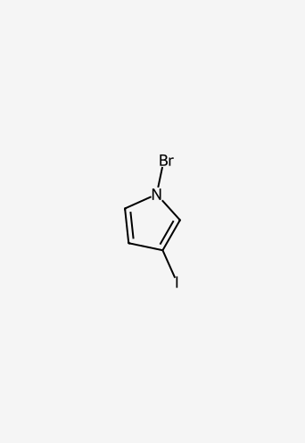 Brn1ccc(I)c1